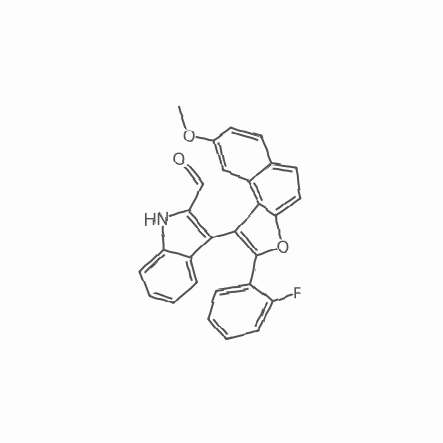 COc1ccc2ccc3oc(-c4ccccc4F)c(-c4c(C=O)[nH]c5ccccc45)c3c2c1